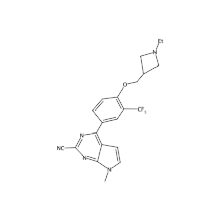 CCN1CC(COc2ccc(-c3nc(C#N)nc4c3ccn4C)cc2C(F)(F)F)C1